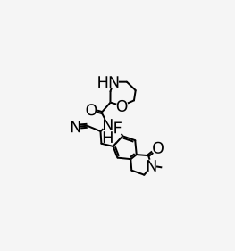 CN1CCc2cc(CC(C#N)NC(=O)C3CNCCCO3)c(F)cc2C1=O